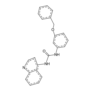 O=C(Nc1cccc(OCc2ccccc2)c1)Nc1ccnc2ccccc12